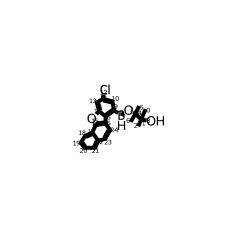 CC(C)(O)C(C)(C)OBc1cc(Cl)cc2oc3c4ccccc4ccc3c12